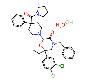 CCC1(c2ccc(Cl)c(Cl)c2)CN(Cc2ccccc2)C(=O)C(N2CCC(C(=O)N3CCCC3)(c3ccccc3)CC2)O1.Cl.O